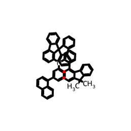 CC1(C)c2ccccc2-c2c(-c3ccccc3N(c3cccc(-c4cccc5ccccc45)c3)c3cccc4c3C3(c5ccccc5-c5ccccc53)c3ccccc3-4)cccc21